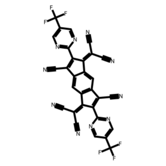 N#CC(C#N)=C1C(c2ncc(C(F)(F)F)cn2)=C(C#N)c2cc3c(cc21)C(C#N)=C(c1ncc(C(F)(F)F)cn1)C3=C(C#N)C#N